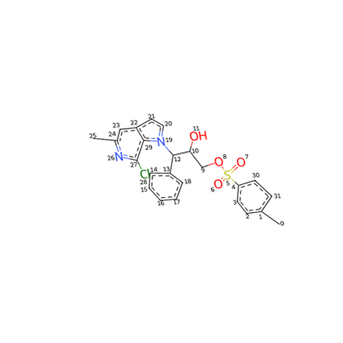 Cc1ccc(S(=O)(=O)OCC(O)C(c2ccccc2)n2ccc3cc(C)nc(Cl)c32)cc1